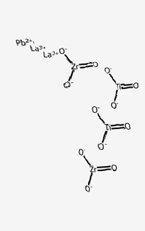 [La+3].[La+3].[O]=[Ti]([O-])[O-].[O]=[Ti]([O-])[O-].[O]=[Zr]([O-])[O-].[O]=[Zr]([O-])[O-].[Pb+2]